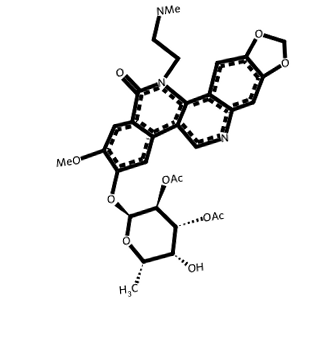 CNCCn1c(=O)c2cc(OC)c(O[C@@H]3O[C@@H](C)[C@@H](O)[C@@H](OC(C)=O)[C@@H]3OC(C)=O)cc2c2cnc3cc4c(cc3c21)OCO4